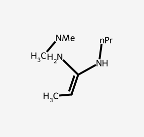 CC=C(N)NCCC.CNC